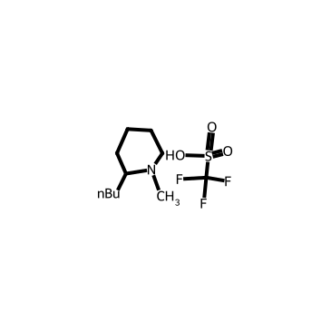 CCCCC1CCCCN1C.O=S(=O)(O)C(F)(F)F